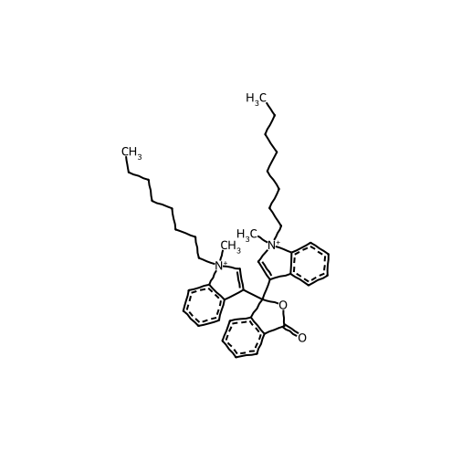 CCCCCCCC[N+]1(C)C=C(C2(C3=C[N+](C)(CCCCCCCC)c4ccccc43)OC(=O)c3ccccc32)c2ccccc21